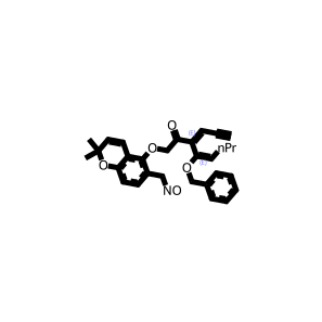 C#C/C=C(C(=O)COc1c(CN=O)ccc2c1C=CC(C)(C)O2)\C(=C/CCC)OCc1ccccc1